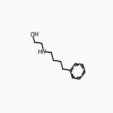 OCCNCCCCc1ccccc1